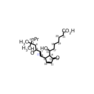 CCCC(C)(C)CC(O)/C=C/C1C=CC(=O)C1C(O)CCCCCC(=O)O